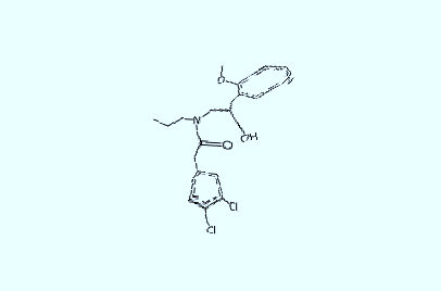 CCCN(CC(O)c1cnccc1OC)C(=O)Cc1ccc(Cl)c(Cl)c1